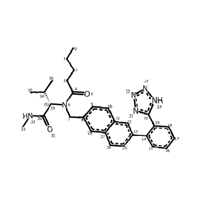 CCCCC(=O)N(Cc1ccc2cc(-c3ccccc3-c3nnn[nH]3)ccc2c1)[C@H](C(=O)NC)C(C)C